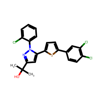 CC(C)(O)c1cc(-c2ccc(-c3ccc(Cl)c(Cl)c3)s2)n(-c2ccccc2Cl)n1